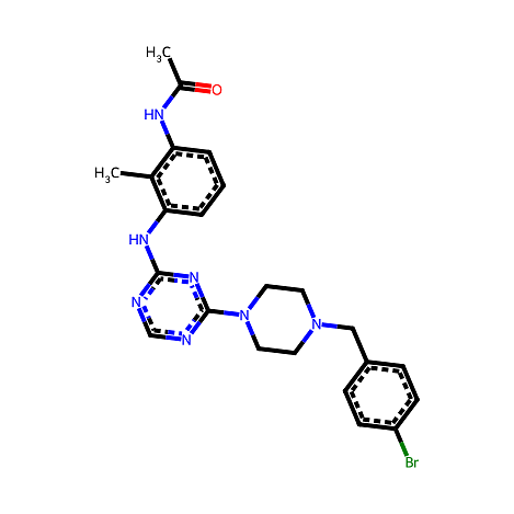 CC(=O)Nc1cccc(Nc2ncnc(N3CCN(Cc4ccc(Br)cc4)CC3)n2)c1C